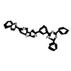 c1ccc(-c2nc(-c3ccccc3)nc(-c3cccc(-c4cc5c(cn4)sc4cc(-c6ccc7ccccc7n6)ncc45)c3)n2)cc1